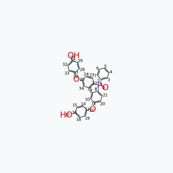 O=P(c1ccccc1)(c1ccc(Oc2ccc(O)cc2)cc1)c1ccc(Oc2ccc(O)cc2)cc1